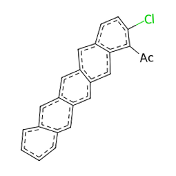 CC(=O)c1c(Cl)ccc2cc3cc4cc5ccccc5cc4cc3cc12